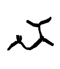 CBCN(C)C(C)C